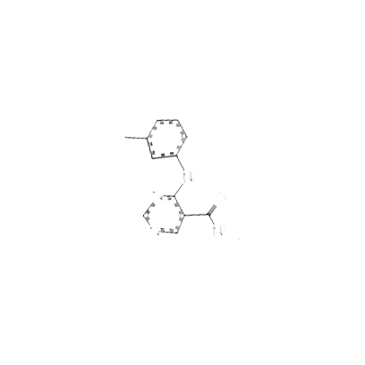 Cc1cccc(Nc2ncncc2C(N)=O)c1